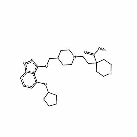 COC(=O)C1(CCN2CCC(COc3noc4cccc(OC5CCCC5)c34)CC2)CCOCC1